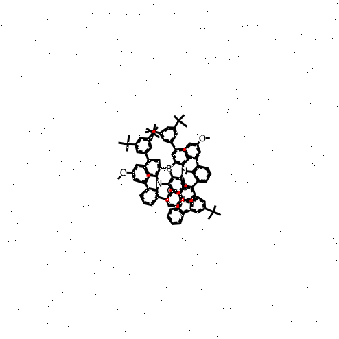 COc1cccc(-c2cccc(-c3cccc(OC)c3)c2N2c3ccc(-c4cc(C(C)(C)C)cc(C(C)(C)C)c4)cc3B3c4cc(-c5cc(C(C)(C)C)cc(C(C)(C)C)c5)ccc4N(c4c(-c5cccc(OC)c5)cccc4-c4cccc(OC)c4)c4cc(-n5c6ccccc6c6cc(C(C)(C)C)ccc65)cc2c43)c1